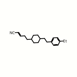 CCc1ccc(CCC2CCC(CCC=CC#N)CC2)cc1